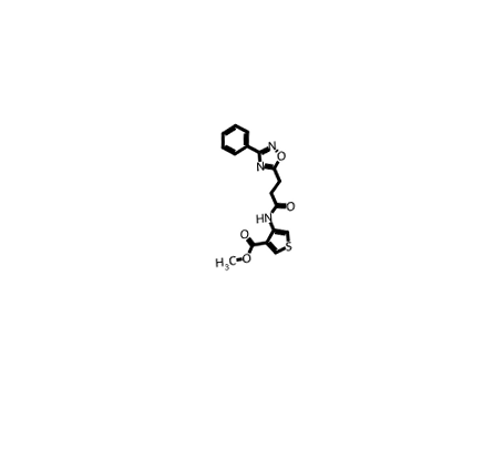 COC(=O)c1cscc1NC(=O)CCc1nc(-c2ccccc2)no1